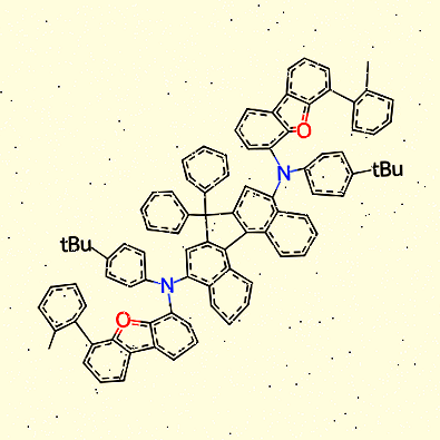 Cc1ccccc1-c1cccc2c1oc1c(N(c3ccc(C(C)(C)C)cc3)c3cc4c(c5ccccc35)-c3c(cc(N(c5ccc(C(C)(C)C)cc5)c5cccc6c5oc5c(-c7ccccc7C)cccc56)c5ccccc35)C4(c3ccccc3)c3ccccc3)cccc12